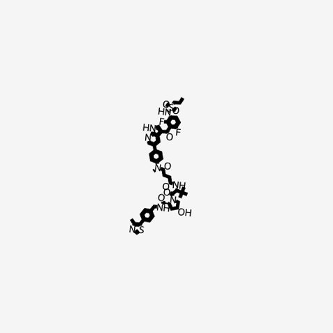 CCCS(=O)(=O)Nc1ccc(F)c(C(=O)c2c[nH]c3ncc(-c4ccc(N(C)C(=O)CCC(=O)N[C@H](C(=O)N5C[C@H](O)C[C@H]5C(=O)NCc5ccc(-c6scnc6C)cc5)C(C)(C)C)cc4)cc23)c1F